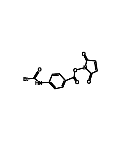 CCC(=O)Nc1ccc(C(=O)ON2C(=O)C=CC2=O)cc1